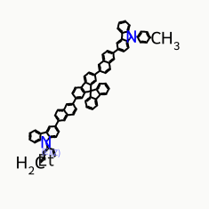 C=C/C=C(\C=C/CC)n1c2ccccc2c2cc(-c3ccc4cc(-c5ccc6c(c5)C5(c7ccccc7-c7ccccc75)c5cc(-c7ccc8cc(-c9ccc%10c(c9)c9ccccc9n%10-c9ccc(C)cc9)ccc8c7)ccc5-6)ccc4c3)ccc21